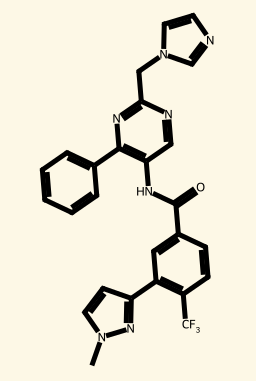 Cn1ccc(-c2cc(C(=O)Nc3cnc(Cn4ccnc4)nc3-c3ccccc3)ccc2C(F)(F)F)n1